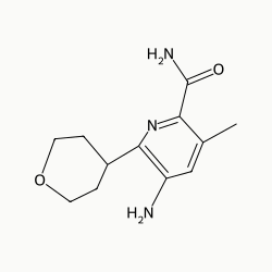 Cc1cc(N)c(C2CCOCC2)nc1C(N)=O